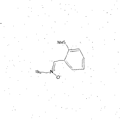 CSc1ccccc1C=[N+]([O-])C(C)(C)C